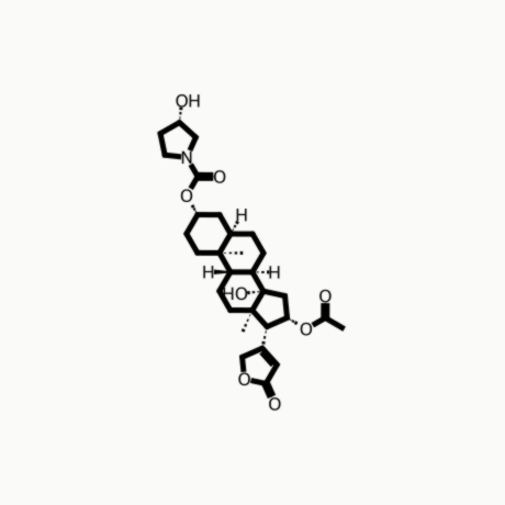 CC(=O)O[C@H]1C[C@]2(O)[C@@H]3CC[C@@H]4C[C@@H](OC(=O)N5CC[C@H](O)C5)CC[C@]4(C)[C@H]3CC[C@]2(C)[C@H]1C1=CC(=O)OC1